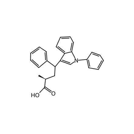 C[C@@H](CC(c1ccccc1)c1cn(-c2ccccc2)c2ccccc12)C(=O)O